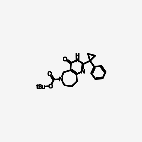 CC(C)(C)OC(=O)N1CCCc2nc(C3(c4ccccc4)CC3)[nH]c(=O)c2C1